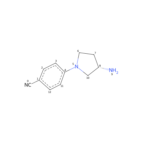 N#Cc1ccc(N2CC[C@H](N)C2)cc1